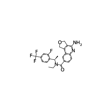 CCN(C(=O)c1ccc2nc(N)c3c(c2c1)COC3)[C@H](C)c1ccc(C(F)(F)F)cc1F